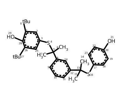 CC(C)(C)c1cc(SC(C)(C)c2cccc(C(C)(C)Sc3ccc(O)cc3)c2)cc(C(C)(C)C)c1O